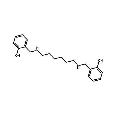 Oc1ccccc1CNCCCCCCNCc1ccccc1O